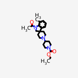 CCOC(=O)N1CCC(N2CCC3(CC2)CN(C(C)=O)c2c(C)cccc23)CC1